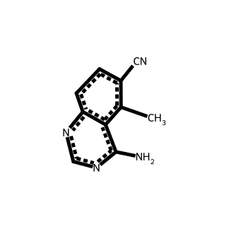 Cc1c(C#N)ccc2ncnc(N)c12